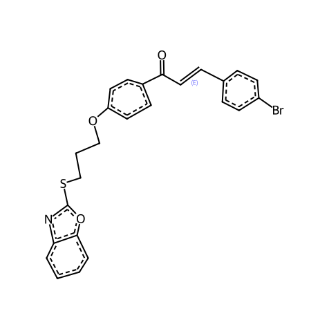 O=C(/C=C/c1ccc(Br)cc1)c1ccc(OCCCSc2nc3ccccc3o2)cc1